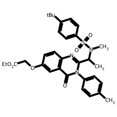 CCOC(=O)COc1ccc2nc(C(C)N(C)S(=O)(=O)c3ccc(C(C)(C)C)cc3)n(-c3ccc(C)cc3)c(=O)c2c1